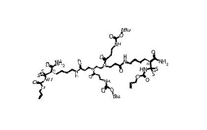 C=CCOC(=O)NC1([C@@H](CCCCNC(=O)CCN(CCN(CCC(=O)NCCCC[C@@H](C(N)=O)C2(NC(=O)OCC=C)SS2)C(=O)CCNC(=O)OC(C)(C)C)C(=O)CCNC(=O)OC(C)(C)C)C(N)=O)SS1